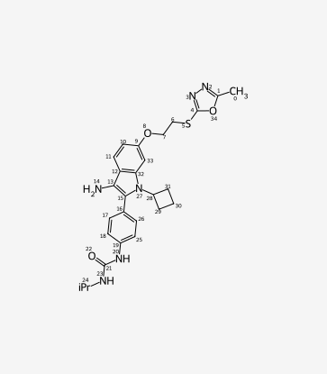 Cc1nnc(SCCOc2ccc3c(N)c(-c4ccc(NC(=O)NC(C)C)cc4)n(C4CCC4)c3c2)o1